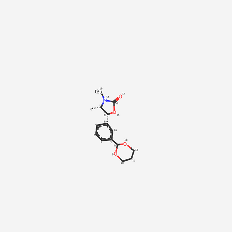 C[C@H]1[C@@H](c2cccc(C3OCCCO3)c2)OC(=O)N1C(C)(C)C